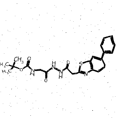 CC(C)(C)OC(=O)NCC(=O)NNC(=O)Cc1nc2ccc(-c3ccccc3)cc2s1